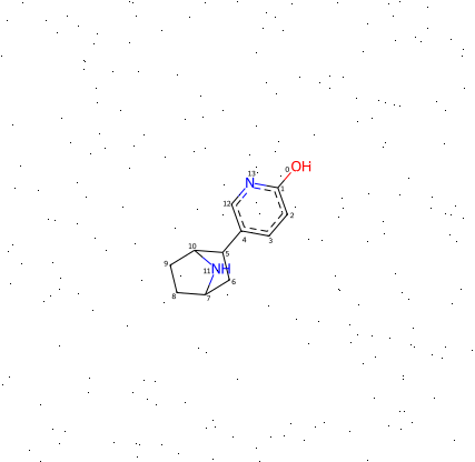 Oc1ccc(C2CC3CCC2N3)cn1